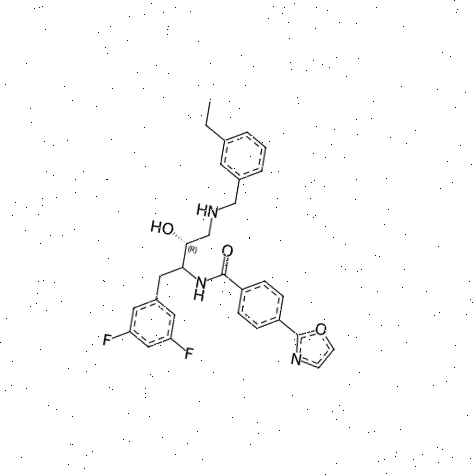 CCc1cccc(CNC[C@@H](O)C(Cc2cc(F)cc(F)c2)NC(=O)c2ccc(-c3ncco3)cc2)c1